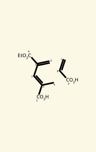 C=C(C=C(C)C(=O)O)C(=O)OCC.C=CC(=O)O